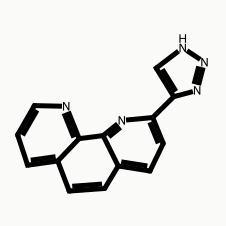 c1cnc2c(c1)ccc1ccc(-c3c[nH]nn3)nc12